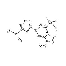 CN(C)c1cccc(-c2cc(C(F)(F)F)c3cnn(C)c3n2)c1